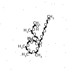 COCCOCCOCCOCCOCCOCC(C)OCC(C)OCC(C)OCC(C)OCC(C)OCC(C)OCC(C)OCC(C)O